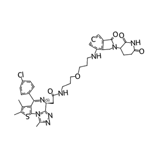 Cc1sc2c(c1C)C(c1ccc(Cl)cc1)=N[C@@H](CC(=O)NCCCOCCCNc1cccc3c1CN(C1CCC(=O)NC1=O)C3=O)c1nnc(C)n1-2